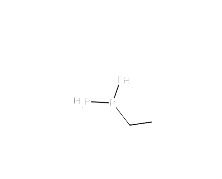 CCP(P)P